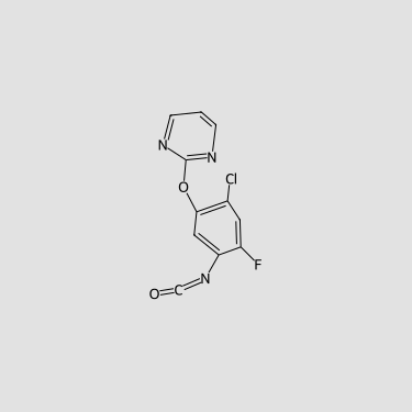 O=C=Nc1cc(Oc2ncccn2)c(Cl)cc1F